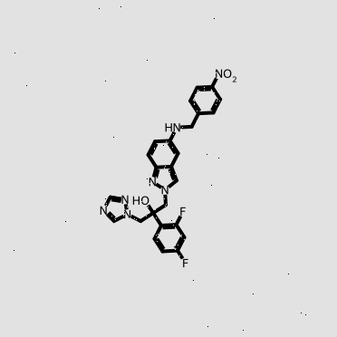 O=[N+]([O-])c1ccc(CNc2ccc3nn(CC(O)(Cn4cncn4)c4ccc(F)cc4F)cc3c2)cc1